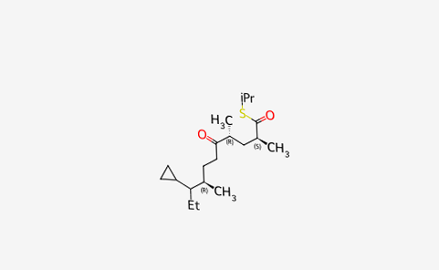 CCC(C1CC1)[C@H](C)CCC(=O)[C@H](C)C[C@H](C)C(=O)SC(C)C